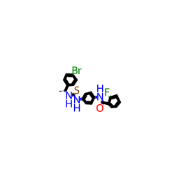 C[C@@H](NC(=S)Nc1ccc(NC(=O)c2ccccc2F)cc1)c1ccc(Br)cc1